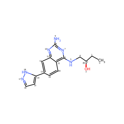 CC[C@@H](O)CNc1nc(N)nc2cc(-c3ccn[nH]3)ccc12